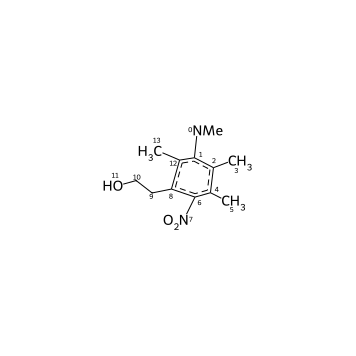 CNc1c(C)c(C)c([N+](=O)[O-])c(CCO)c1C